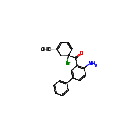 Nc1ccc(-c2ccccc2)cc1C(=O)C1(Br)C=CC=C(C=O)C1